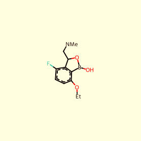 CCOc1ccc(F)c2c1B(O)OC2CNC